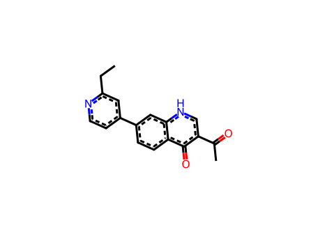 CCc1cc(-c2ccc3c(=O)c(C(C)=O)c[nH]c3c2)ccn1